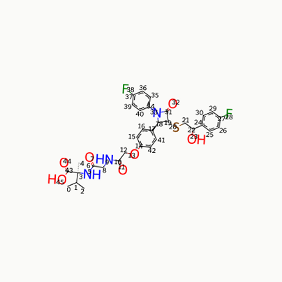 CC(C)[C@](C)(NC(=O)CNC(=O)COc1ccc([C@@H]2[C@@H](SCC(O)c3ccc(F)cc3)C(=O)N2c2ccc(F)cc2)cc1)C(=O)O